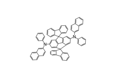 c1ccc(N(c2cc3c4c(c2)C2(c5ccccc5-c5ccccc52)c2cc(N(c5ccccc5)c5ccc6ccccc6c5)cc(c2-4)C32c3ccccc3-c3ccccc32)c2ccc3ccccc3c2)cc1